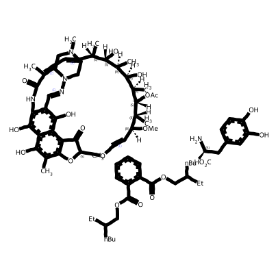 CCCCC(CC)COC(=O)c1ccccc1C(=O)OCC(CC)CCCC.CO[C@H]1/C=C/O[C@@]2(C)Oc3c(C)c(O)c4c(O)c(c(/C=N/N5CCN(C)CC5)c(O)c4c3C2=O)NC(=O)/C(C)=C\C=C\[C@H](C)[C@H](O)[C@@H](C)[C@@H](O)[C@@H](C)[C@H](OC(C)=O)[C@@H]1C.N[C@@H](Cc1ccc(O)c(O)c1)C(=O)O